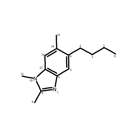 CCCCc1cc2nc(C)n(C)c2cc1C